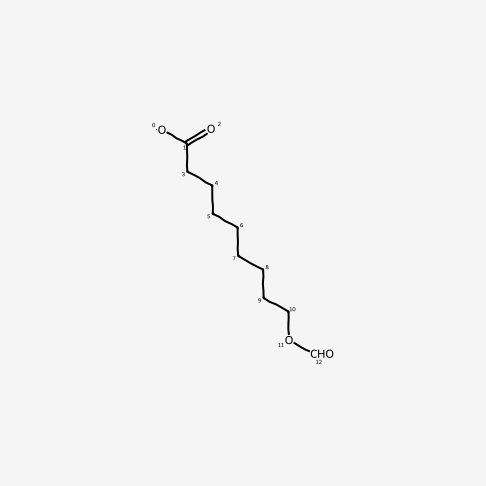 [O]C(=O)CCCCCCCCOC=O